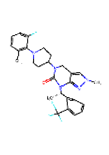 Cc1cccc(F)c1N1CCC(N2Cc3cn(C)nc3N([C@@H](C)c3ccccc3C(F)(F)F)C2=O)CC1